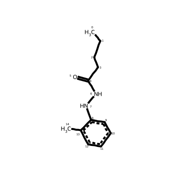 CCCCC(=O)NNc1ccccc1C